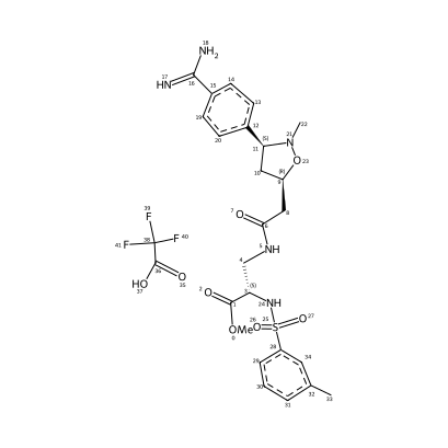 COC(=O)[C@H](CNC(=O)C[C@H]1C[C@@H](c2ccc(C(=N)N)cc2)N(C)O1)NS(=O)(=O)c1cccc(C)c1.O=C(O)C(F)(F)F